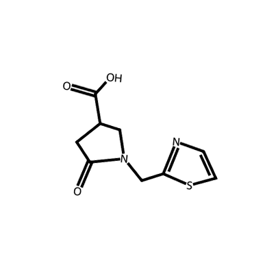 O=C(O)C1CC(=O)N(Cc2nccs2)C1